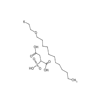 CCCCCCCCCCCCOC[CH2][K].O=C(O)CC(C(=O)O)S(=O)(=O)O